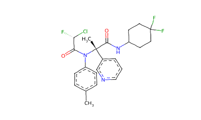 Cc1ccc(N(C(=O)[C@H](F)Cl)[C@](C)(C(=O)NC2CCC(F)(F)CC2)c2cccnc2)cc1